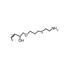 C/C=C\C(O)COCCCSCCN